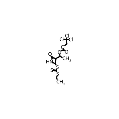 CCSC(=S)SC1NC(=O)C1C(C)OC(=O)OCC(Cl)(Cl)Cl